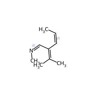 C/C=C\C(/C=N\C)=C(C)C